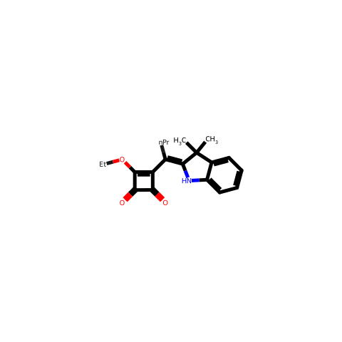 CCCC(=C1Nc2ccccc2C1(C)C)c1c(OCC)c(=O)c1=O